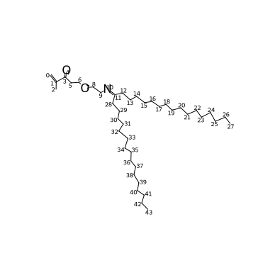 C=C(C)C(=O)CCOCCN=C(CCCCCCCCCCCCCCCC)CCCCCCCCCCCCCCCC